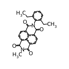 CCc1cccc(CC)c1N1C(=O)c2ccc3c4c(ccc(c24)C1=O)C(=O)N(C)C3=O